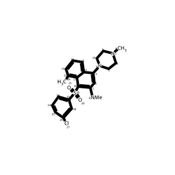 CNc1cc(N2CCN(C)CC2)c2cccc(C)c2c1S(=O)(=O)c1cccc(Cl)c1